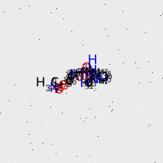 Cc1ncoc1COc1ccc2c(c1)CCN(C[C@@H](O)CNC(=O)C1CC(NC3CCCCC3)N(C3CCCCCCCC3)CN1)C2